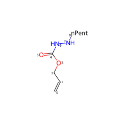 C=CCOC(=O)NNCCCCC